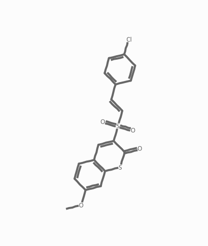 COc1ccc2cc(S(=O)(=O)/C=C/c3ccc(Cl)cc3)c(=O)sc2c1